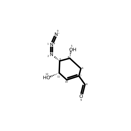 [N-]=[N+]=N[C@@H]1[C@H](O)CC(C=O)=C[C@@H]1O